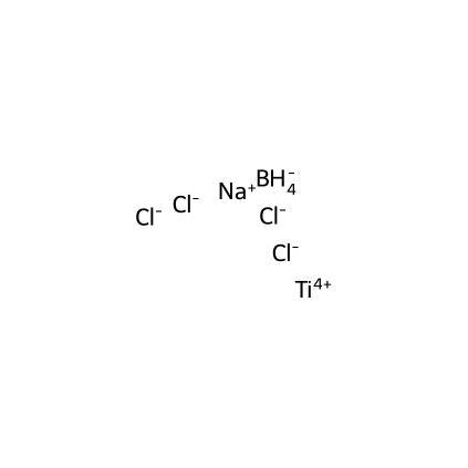 [BH4-].[Cl-].[Cl-].[Cl-].[Cl-].[Na+].[Ti+4]